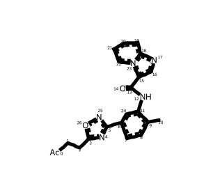 CC(=O)CCc1nc(-c2ccc(C)c(NC(=O)c3cnc4ccccn34)c2)no1